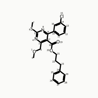 COCc1nc(SC)nc(-c2cccc(Cl)c2)c1C(=O)OCCCc1ccccc1